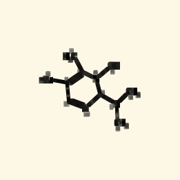 CCCCC1=C(C)N(O)C(N(C)C)N=C1